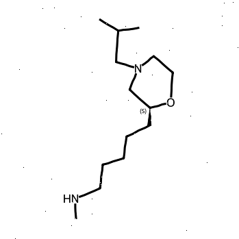 CNCCCCC[C@H]1CN(CC(C)C)CCO1